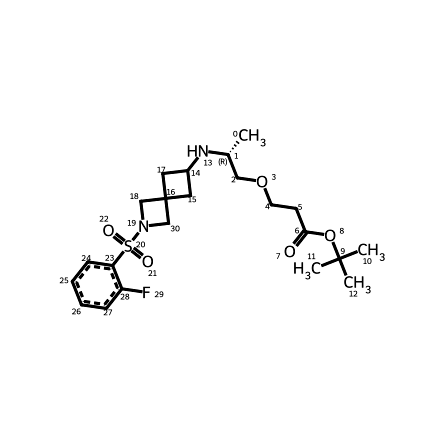 C[C@H](COCCC(=O)OC(C)(C)C)NC1CC2(C1)CN(S(=O)(=O)c1ccccc1F)C2